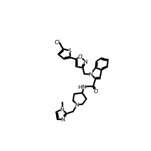 Cn1ccnc1CN1CCC(NC(=O)c2cc3ccccc3n2Cc2cc(-c3ccc(Cl)s3)on2)CC1